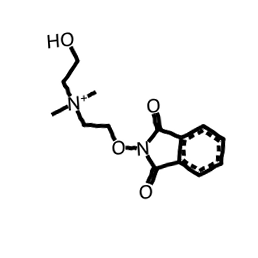 C[N+](C)(CCO)CCON1C(=O)c2ccccc2C1=O